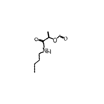 CCCCNC(=O)C(C)O[C]=O